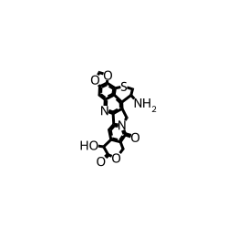 NC1CSc2c3c(cc4nc5c(c1c24)Cn1c-5cc2c(c1=O)COC(=O)C2O)OCO3